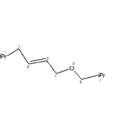 CC(C)CC=CCOCC(C)C